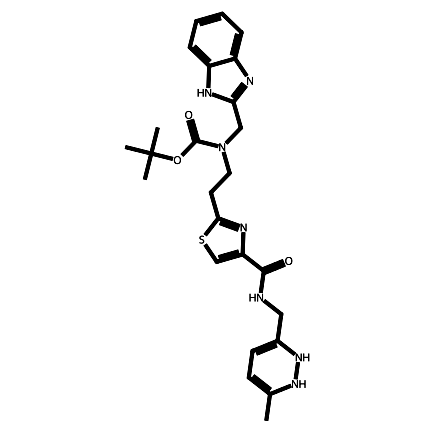 CC1=CC=C(CNC(=O)c2csc(CCN(Cc3nc4ccccc4[nH]3)C(=O)OC(C)(C)C)n2)NN1